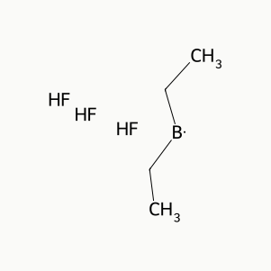 CC[B]CC.F.F.F